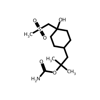 CC(C)(CC1CCC(O)(CS(C)(=O)=O)CC1)OC(N)=O